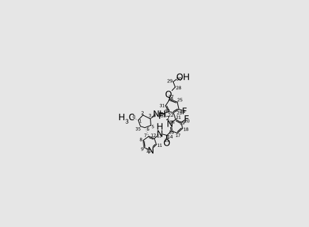 C[C@@H]1C[C@@H](N)C[C@H](c2ccncc2NC(=O)c2ccc(F)c(-c3c(F)cc(OCCO)cc3F)n2)C1